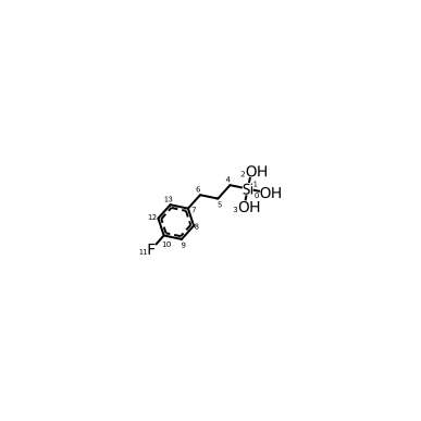 O[Si](O)(O)CCCc1ccc(F)cc1